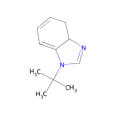 CC(C)(C)N1C=NC2CC=CC=C21